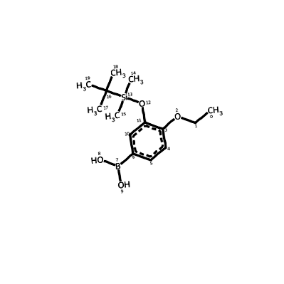 CCOc1ccc(B(O)O)cc1O[Si](C)(C)C(C)(C)C